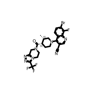 C[C@@H]1CN(c2c(C#N)cnc3c(F)c(Br)ccc23)CC[C@@H]1C(=O)N1CCn2c(nnc2C(F)(F)F)C1